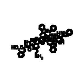 CC(=O)N(C(=O)[C@H](CCCCN)NC(=O)[C@@H](Cc1c[nH]c2ccccc12)NC(=O)[C@H](Cc1c[nH]c2ccccc12)NC(=O)[C@H](Cc1ccccc1)NC(=O)[C@H](CS)NC(=O)[C@H](N)Cc1ccccc1)[C@H](C(=O)N[C@@H](Cc1ccccc1)C(=O)O)[C@@H](C)O